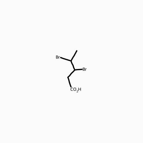 CC(Br)C(Br)CC(=O)O